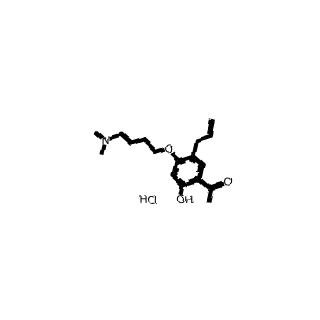 C=CCc1cc(C(C)=O)c(O)cc1OCCCCN(C)C.Cl